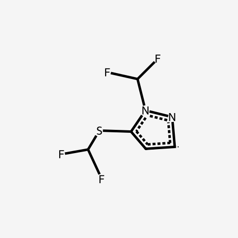 FC(F)Sc1c[c]nn1C(F)F